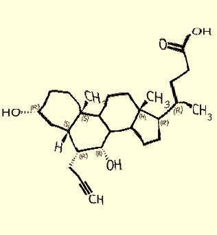 C#CC[C@H]1[C@@H](O)C2C3CC[C@H]([C@H](C)CCC(=O)O)[C@@]3(C)CCC2[C@@]2(C)CC[C@@H](O)C[C@@H]12